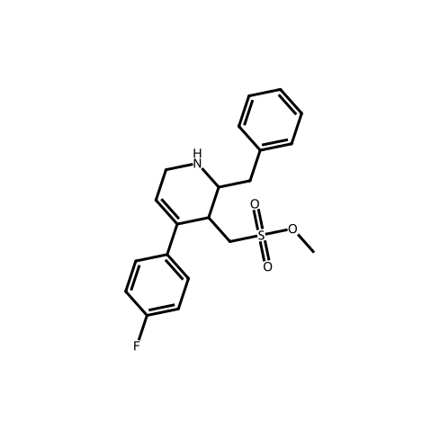 COS(=O)(=O)CC1C(c2ccc(F)cc2)=CCNC1Cc1ccccc1